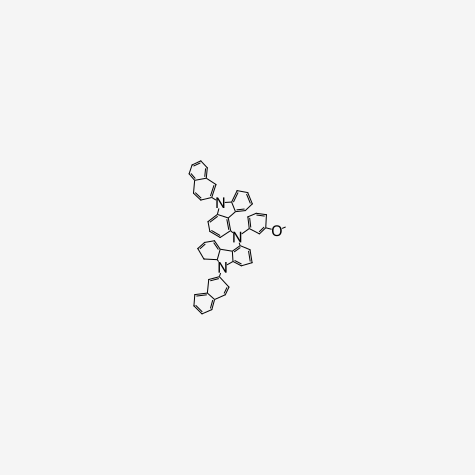 COc1cccc(N(c2cccc3c2C2=CC=CCC2N3c2ccc3ccccc3c2)c2cccc3c2c2ccccc2n3-c2ccc3ccccc3c2)c1